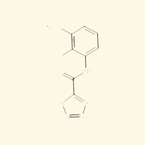 COc1cccc(NC(=O)c2nnn[nH]2)c1O